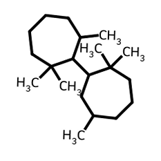 CC1CCCC(C)(C)C(C2C(C)CCCCC2(C)C)C1